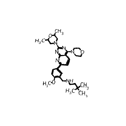 COc1ccc(-c2ccc3c(N4CCOCC4)nc(N4CC(C)OC(C)C4)nc3n2)cc1CNCCC(C)(C)C